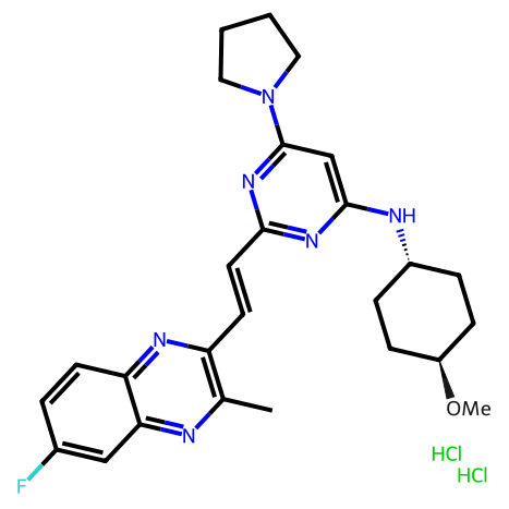 CO[C@H]1CC[C@H](Nc2cc(N3CCCC3)nc(C=Cc3nc4ccc(F)cc4nc3C)n2)CC1.Cl.Cl